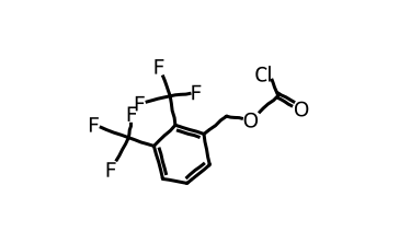 O=C(Cl)OCc1cccc(C(F)(F)F)c1C(F)(F)F